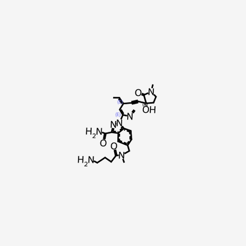 C=N/C(=C\C(C#C[C@]1(O)CCN(C)C1=O)=C/C)n1nc(C(N)=O)c2cc(CN(C)C(=O)CCCN)ccc21